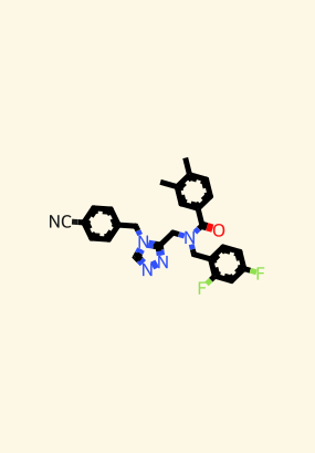 Cc1ccc(C(=O)N(Cc2ccc(F)cc2F)Cc2nncn2Cc2ccc(C#N)cc2)cc1C